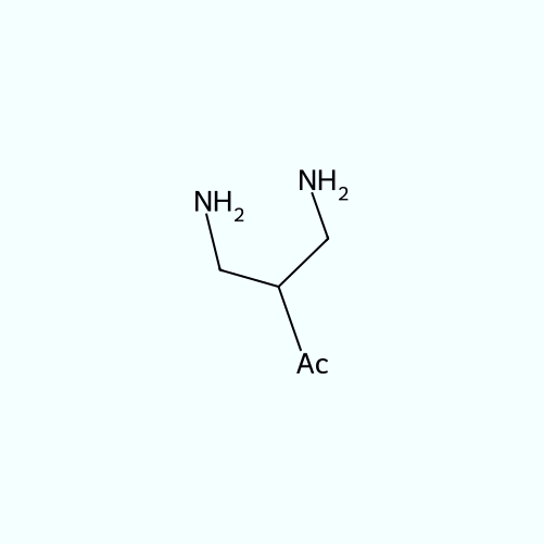 CC(=O)C(CN)CN